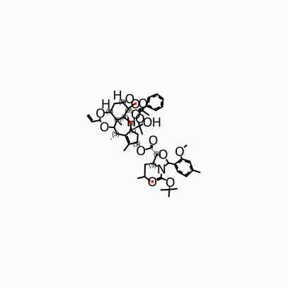 C=CC1OC2[C@@H](C)C3=C(C)[C@@H](OC(=O)[C@@H]4OC(c5ccc(C)cc5OC)N(C(=O)OC(C)(C)C)[C@H]4CC(C)C)C[C@@]3(C(C)(C)O)[C@@H](OC(=O)c3ccccc3)[C@@H]3[C@]4(OC(C)=O)CO[C@@H]4C[C@H](O1)[C@@]23C